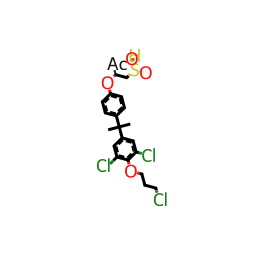 CC(=O)[C@@H](C[SH](=O)=O)Oc1ccc(C(C)(C)c2cc(Cl)c(OCCCCl)c(Cl)c2)cc1